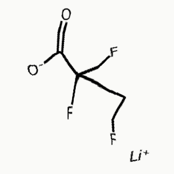 O=C([O-])C(F)(F)CF.[Li+]